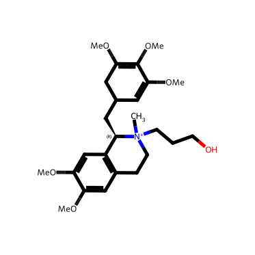 COC1=CC(C[C@@H]2c3cc(OC)c(OC)cc3CC[N+]2(C)CCCO)CC(OC)=C1OC